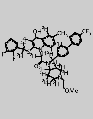 [2H]C1=C(SC([2H])([2H])c2cccc(F)c2F)N(C([2H])([2H])C(=O)N(C([2H])([2H])c2ccc(-c3ccc(C(F)(F)F)cc3)cc2)C2([2H])C([2H])([2H])C([2H])([2H])N(CCOC)C([2H])([2H])C2([2H])[2H])c2c([2H])c([2H])c(C)c([2H])c2C1O